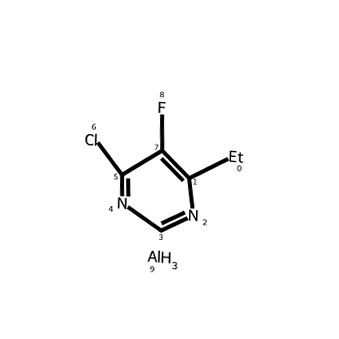 CCc1ncnc(Cl)c1F.[AlH3]